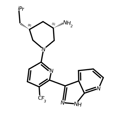 CC(C)C[C@@H]1C[C@H](N)CN(c2ccc(C(F)(F)F)c(-c3n[nH]c4ncccc34)n2)C1